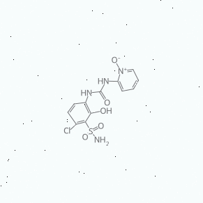 NS(=O)(=O)c1c(Cl)ccc(NC(=O)Nc2cccc[n+]2[O-])c1O